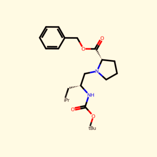 CC(C)C[C@H](CN1CCC[C@H]1C(=O)OCc1ccccc1)NC(=O)OC(C)(C)C